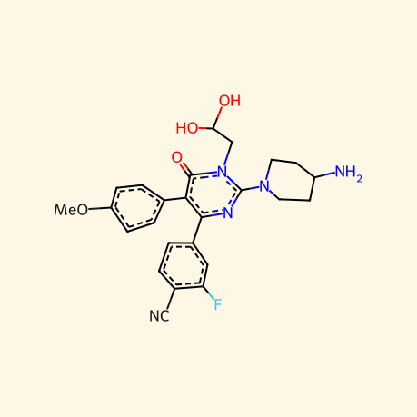 COc1ccc(-c2c(-c3ccc(C#N)c(F)c3)nc(N3CCC(N)CC3)n(CC(O)O)c2=O)cc1